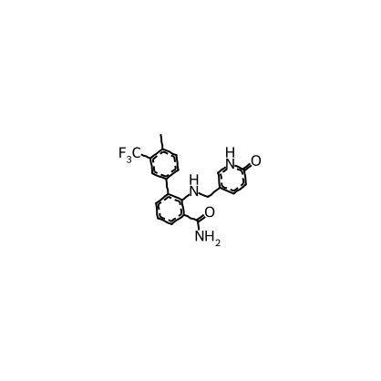 Cc1ccc(-c2cccc(C(N)=O)c2NCc2ccc(=O)[nH]c2)cc1C(F)(F)F